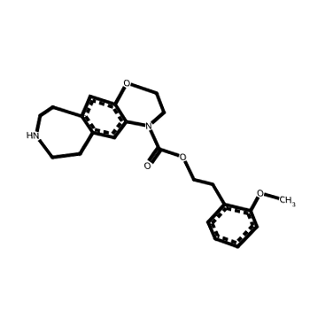 COc1ccccc1CCOC(=O)N1CCOc2cc3c(cc21)CCNCC3